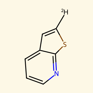 [2H]c1cc2cccnc2s1